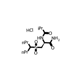 CCCC(CCC)S(=O)(=O)C[C@@H](NC(=O)C(C)C)C(N)=O.Cl